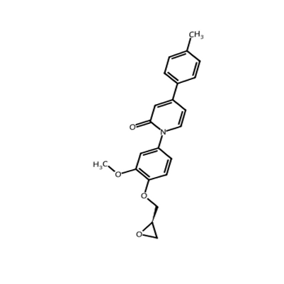 COc1cc(-n2ccc(-c3ccc(C)cc3)cc2=O)ccc1OC[C@H]1CO1